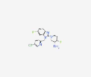 N[C@@H]1CN(c2nc3ccc(F)cc3n2Cc2ccc(Cl)cn2)CCC1F